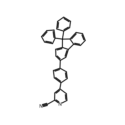 N#Cc1cc(-c2ccc(-c3ccc4c(c3)-c3ccccc3C4(c3ccccc3)c3ccccc3)cc2)ccn1